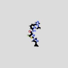 CC(C)n1cnnc1-c1cccc(NC(=O)c2nc(-n3cnc(C4CC4)c3)sc2F)n1